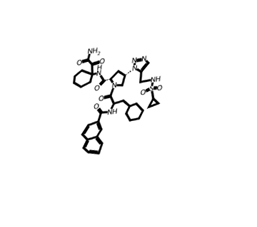 NC(=O)C(=O)C1(NC(=O)[C@@H]2C[C@H](n3nncc3CNS(=O)(=O)C3CC3)CN2C(=O)C(CC2CCCCC2)NC(=O)c2ccc3ccccc3c2)CCCCC1